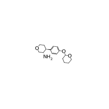 N[C@@H]1COCC[C@H]1c1ccc(OC2CCCCO2)cc1